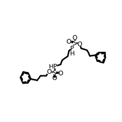 O=S(=O)(OCCCc1ccccc1)PCCCCPS(=O)(=O)OCCCc1ccccc1